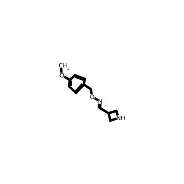 COc1ccc(CON=CC2CNC2)cc1